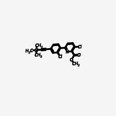 COC(=O)c1nc(-c2ccc(C#C[Si](C)(C)C)cc2Cl)ccc1Cl